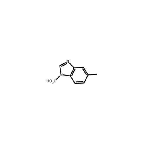 Cc1ccc2c(c1)ncn2C(=O)O